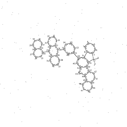 CC1(C)c2ccccc2-c2c(-c3cccc(-c4c5ccccc5c(-c5cccc6ccccc56)c5ccccc45)c3)cc3sc4c5ccccc5ccc4c3c21